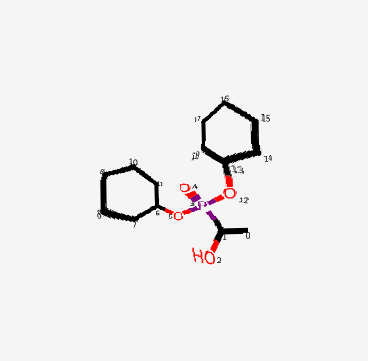 CC(O)P(=O)(OC1CCCCC1)OC1CCCCC1